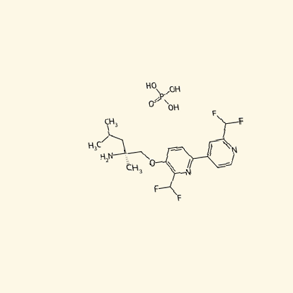 CC(C)C[C@](C)(N)COc1ccc(-c2ccnc(C(F)F)c2)nc1C(F)F.O=P(O)(O)O